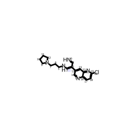 N=C/C(=C\NCCCN1CCCC1)c1cnc2ccc(Cl)nc2c1